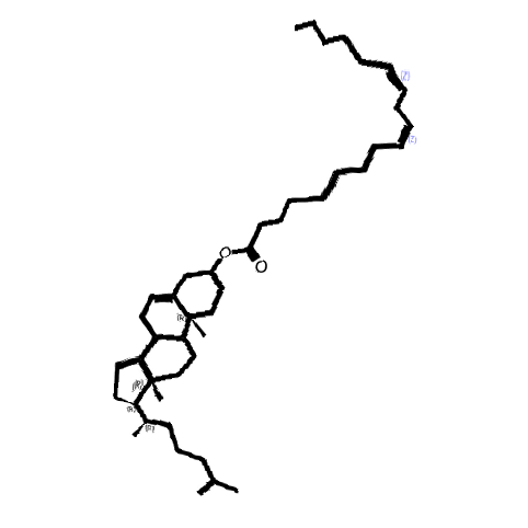 CCCCC/C=C\C/C=C\CCCCCCCC(=O)OC1CC[C@@]2(C)C(=CCC3C2CC[C@@]2(C)C3CC[C@@H]2[C@H](C)CCCC(C)C)C1